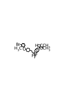 Cc1c(Br)cccc1OC1CCC(CC[C@@H](N2C=CN(C(=O)OC(C)(C)C)C=C2)C(F)(F)F)CC1